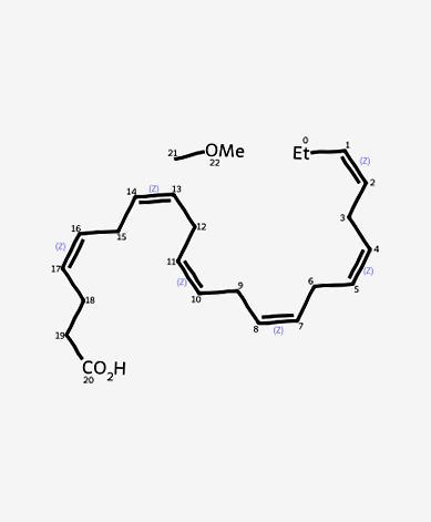 CC/C=C\C/C=C\C/C=C\C/C=C\C/C=C\C/C=C\CCC(=O)O.COC